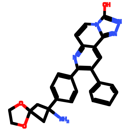 NC1(c2ccc(-c3nc4ccn5c(O)nnc5c4cc3-c3ccccc3)cc2)CC2(C1)OCCO2